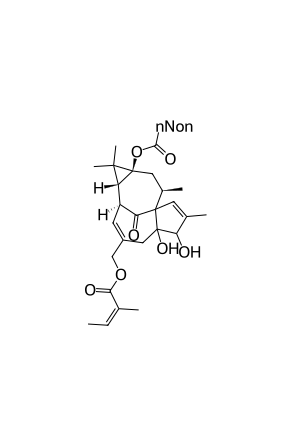 C/C=C(/C)C(=O)OCC1=C[C@@H]2C(=O)C3(C=C(C)C(O)C3(O)C1)[C@H](C)C[C@]1(OC(=O)CCCCCCCCC)[C@H]2C1(C)C